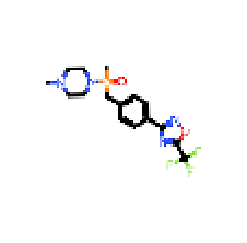 CN1CCN(P(C)(=O)Cc2ccc(-c3noc(C(F)(F)F)n3)cc2)CC1